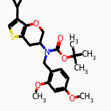 COc1ccc(CN(C(=O)OC(C)(C)C)C2COc3c(C4CC4)csc3C2)c(OC)c1